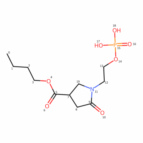 CCCCOC(=O)C1CC(=O)N(CCOP(=O)(O)O)C1